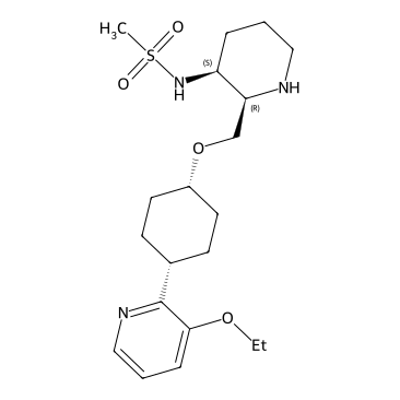 CCOc1cccnc1[C@H]1CC[C@@H](OC[C@@H]2NCCC[C@@H]2NS(C)(=O)=O)CC1